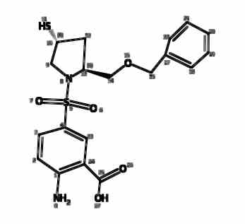 Nc1ccc(S(=O)(=O)N2C[C@H](S)C[C@H]2COCc2ccccc2)cc1C(=O)O